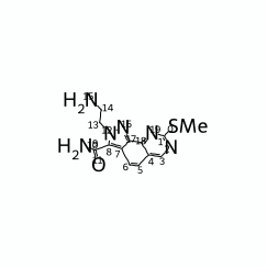 CSc1ncc2ccc3c(C(N)=O)n(CCN)nc3c2n1